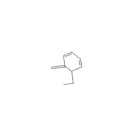 C=C1C=CC=CC1CC